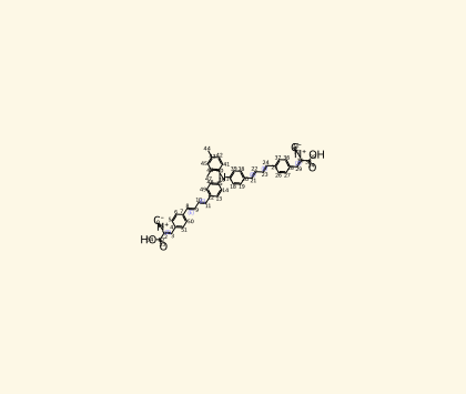 [C-]#[N+]/C(=C\c1ccc(/C=C/C=C/c2ccc(N(c3ccc(/C=C/C=C/c4ccc(/C=C(\[N+]#[C-])C(=O)O)cc4)cc3)c3ccc(C)cc3C)cc2)cc1)C(=O)O